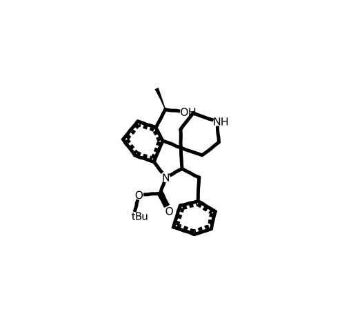 C[C@@H](O)c1cccc2c1C1(CCNCC1)C(Cc1ccccc1)N2C(=O)OC(C)(C)C